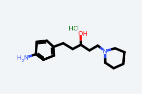 Cl.Nc1ccc(CCC(O)CCN2CCCCC2)cc1